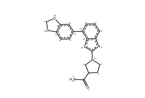 NC(=O)C1CCN(c2nc3cccc(-c4ccc5c(c4)OCO5)c3s2)C1